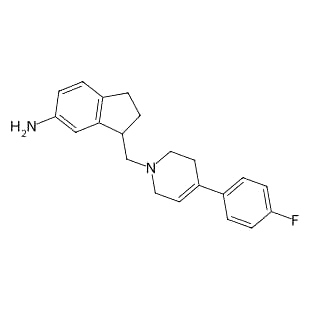 Nc1ccc2c(c1)C(CN1CC=C(c3ccc(F)cc3)CC1)CC2